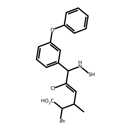 CC(C)C(C(=O)O)C(C)C=C(Cl)C(NS)c1cccc(Oc2ccccc2)c1